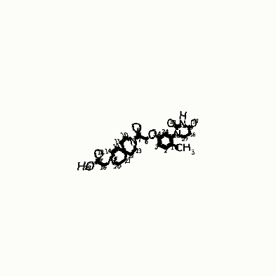 Cc1ccc(OCC(=O)N2CCC3(CCN(CC(=O)O)CC3)CC2)cc1N1CCC(=O)NC1=O